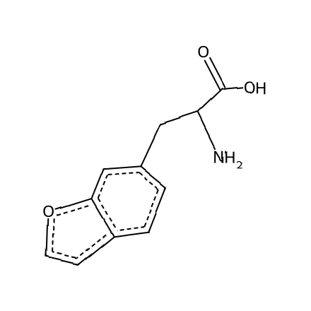 NC(Cc1ccc2ccoc2c1)C(=O)O